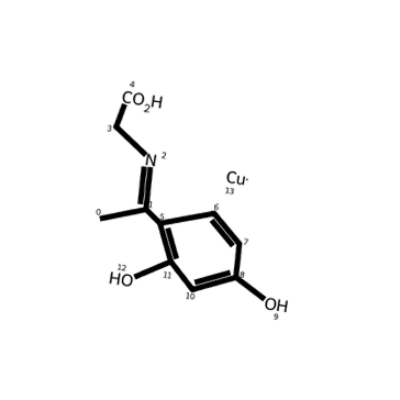 C/C(=N\CC(=O)O)c1ccc(O)cc1O.[Cu]